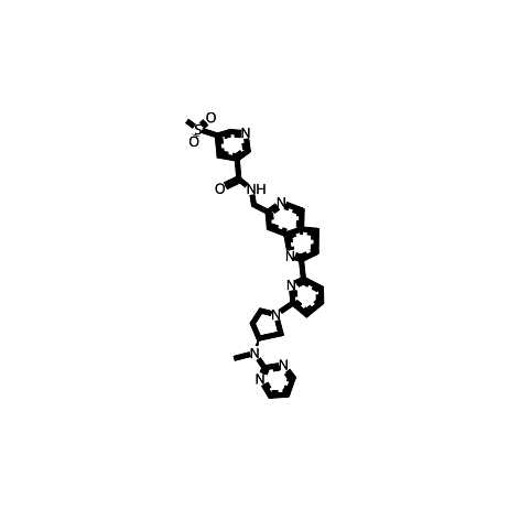 CN(c1ncccn1)[C@@H]1CCN(c2cccc(-c3ccc4cnc(CNC(=O)c5cncc(S(C)(=O)=O)c5)cc4n3)n2)C1